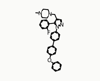 CN1CCN(Cc2cnn(-c3ccc(-c4ccc(Oc5ccccc5)cc4)cc3)c2-c2ccccc2F)CC1